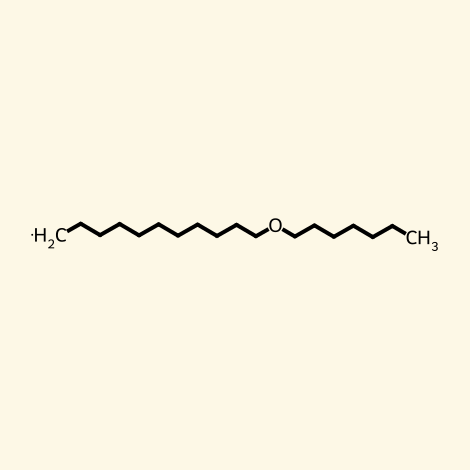 [CH2]CCCCCCCCCCOCCCCCCC